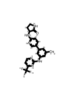 Cc1cc(Nc2nccc(C(F)(F)F)n2)cc(-c2ccc(NC3CCNC3=O)nc2)c1